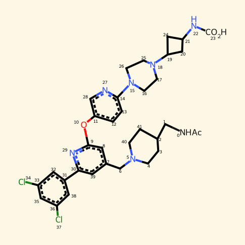 CC(=O)NCC1CCN(Cc2cc(Oc3ccc(N4CCN(C5CC(NC(=O)O)C5)CC4)nc3)nc(-c3cc(Cl)cc(Cl)c3)c2)CC1